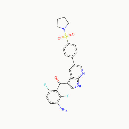 Nc1ccc(F)c(C(=O)c2c[nH]c3ncc(-c4ccc(S(=O)(=O)N5CCCC5)cc4)cc23)c1F